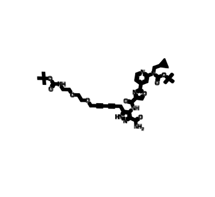 CC(C)(C)OC(=O)NCCOCCOCC#CC#CCc1[nH]nc(C(N)=O)c1NC(=O)c1coc(-c2ccnc(N(CC3CC3)C(=O)OC(C)(C)C)c2)n1